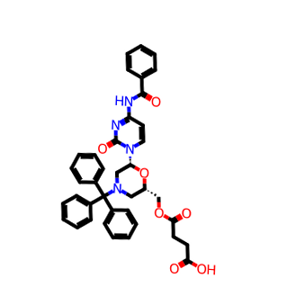 O=C(O)CCC(=O)OC[C@@H]1CN(C(c2ccccc2)(c2ccccc2)c2ccccc2)C[C@H](n2ccc(NC(=O)c3ccccc3)nc2=O)O1